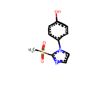 CS(=O)(=O)c1nccn1-c1ccc(O)cc1